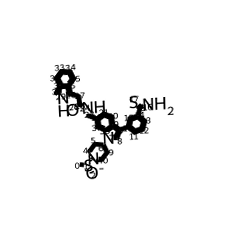 C[S+]([O-])N1CCC(n2cc(-c3cccc(C(N)=S)c3)c3ccc(CNC(=O)Cc4[nH]cc5ccccc45)cc32)CC1